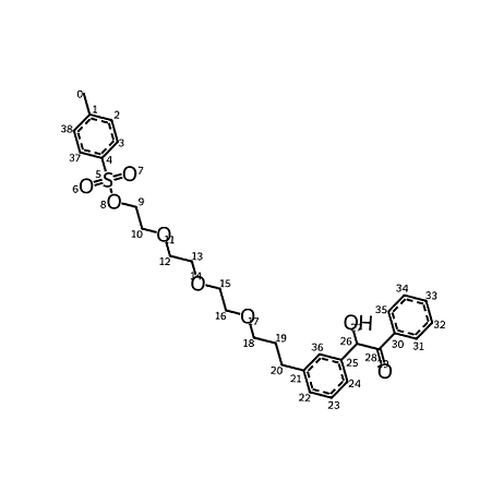 Cc1ccc(S(=O)(=O)OCCOCCOCCOCCCc2cccc(C(O)C(=O)c3ccccc3)c2)cc1